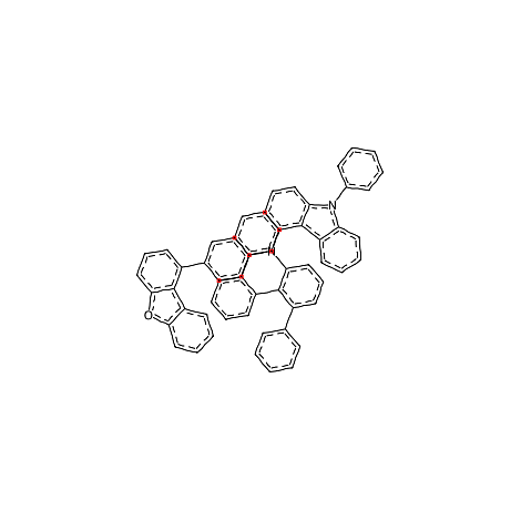 c1ccc(-c2ccccc2-c2c(-c3ccccc3)cccc2N(c2ccc(-c3cccc4oc5ccccc5c34)cc2)c2cccc3c2c2ccccc2n3-c2ccccc2)cc1